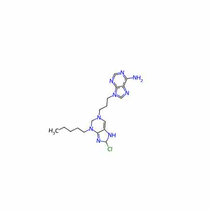 CCCCCN1CN(CCCn2cnc3c(N)ncnc32)C=C2NC(Cl)N=C21